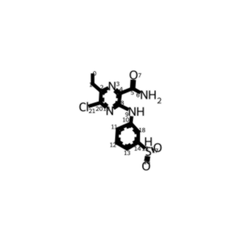 CCc1nc(C(N)=O)c(Nc2cccc([SH](=O)=O)c2)nc1Cl